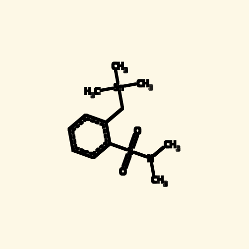 CN(C)S(=O)(=O)c1ccccc1[CH2][Sn]([CH3])([CH3])[CH3]